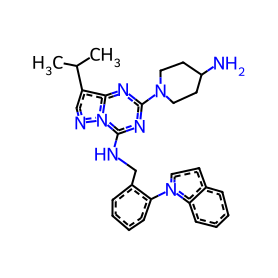 CC(C)c1cnn2c(NCc3ccccc3-n3ccc4ccccc43)nc(N3CCC(N)CC3)nc12